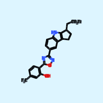 CCOC(=O)CC1CCc2c1[nH]c1ccc(-c3noc(-c4ccc(C(F)(F)F)cc4O)n3)cc21